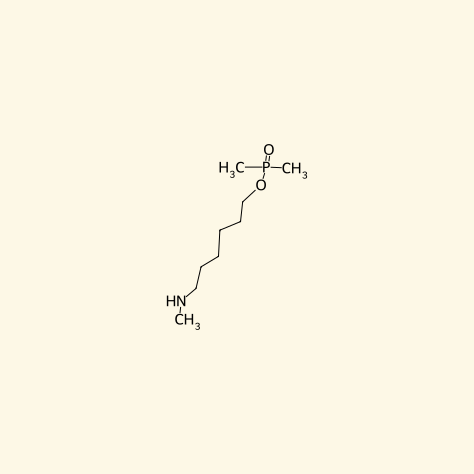 CNCCCCCCOP(C)(C)=O